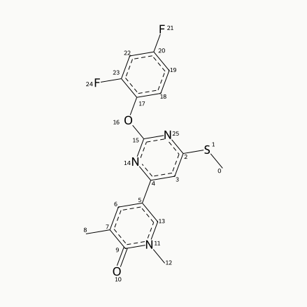 CSc1cc(-c2cc(C)c(=O)n(C)c2)nc(Oc2ccc(F)cc2F)n1